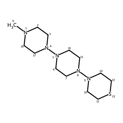 CN1CCN(N2CCN(N3CCSCC3)CC2)CC1